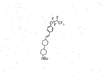 CCCCC1CCC(C2CCC(/C=C/c3ccc(OC(F)(F)C(F)C(F)(F)F)cc3)CC2)CC1